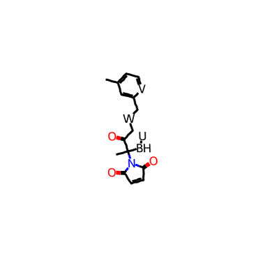 CC1=C[CH]=[V][C]([CH2][W][CH2]C(=O)C(C)([BH][U])N2C(=O)C=CC2=O)=C1